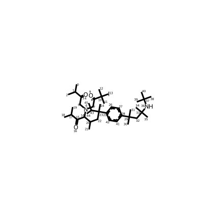 CC(C)C(=O)CN(CC(=O)C(C)(C)I)C(C(=O)C(C)C)C(C)CC(C)(c1ccc(C(C)(C)CC(C)(C)NC(C)(C)C)cc1)C(C)C